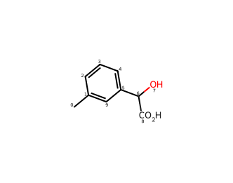 Cc1cccc(C(O)C(=O)O)c1